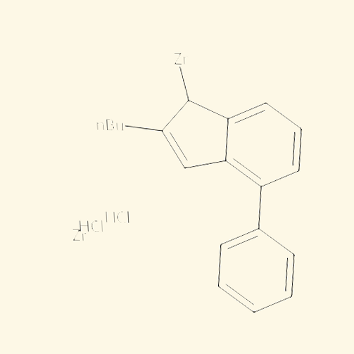 CCCCC1=Cc2c(-c3ccccc3)cccc2[CH]1[Zr].Cl.Cl.[Zr]